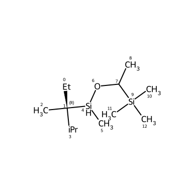 CC[C@](C)(C(C)C)[SiH](C)OC(C)[Si](C)(C)C